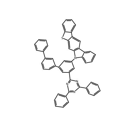 c1ccc(-c2cccc(-c3cc(-c4nc(-c5ccccc5)nc(-c5ccccc5)n4)cc(-n4c5ccccc5c5cc6c(cc54)sc4ccccc46)c3)c2)cc1